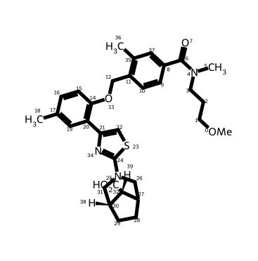 COCCCN(C)C(=O)c1ccc(COc2ccc(C)cc2-c2csc(N3CC4CC[C@H](C3)[C@@H]4C(=O)O)n2)c(C)c1